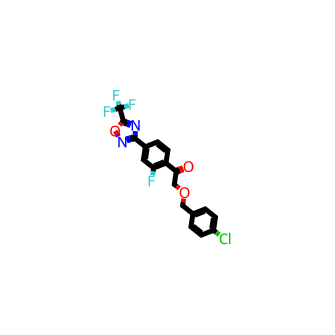 O=C(COCc1ccc(Cl)cc1)c1ccc(-c2noc(C(F)(F)F)n2)cc1F